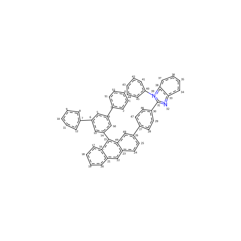 c1ccc(-c2cc(-c3ccccc3)cc(-c3c4ccccc4cc4ccc(-c5ccc(-c6nc7ccccc7n6-c6ccccc6)cc5)cc34)c2)cc1